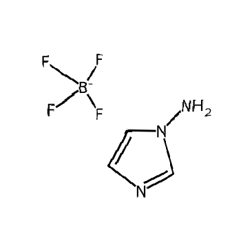 F[B-](F)(F)F.Nn1ccnc1